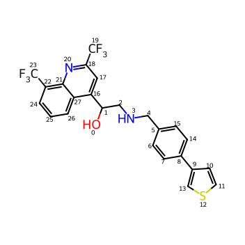 OC(CNCc1ccc(-c2ccsc2)cc1)c1cc(C(F)(F)F)nc2c(C(F)(F)F)cccc12